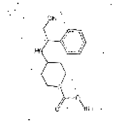 CC(C)(C)OC(=O)N1CCC(NC(CO)c2ccccc2)CC1